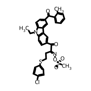 CCn1c2ccc(C(=O)/C(CCSc3ccc(Cl)cc3)=N/OS(C)(=O)=O)cc2c2cc(C(=O)c3ccccc3C)ccc21